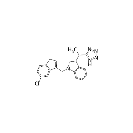 CC(c1nnn[nH]1)C1CN(CC2=CCc3ccc(Cl)cc32)c2ccccc21